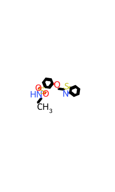 CCCNS(=O)(=O)c1cccc(OCc2nc3ccccc3s2)c1